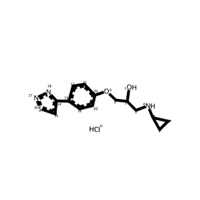 Cl.OC(CNC1CC1)COc1ccc(-c2csnn2)cc1